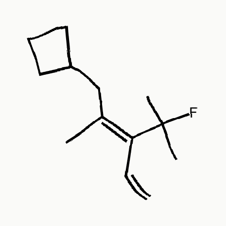 C=C/C(=C(\C)CC1CCC1)C(C)(C)F